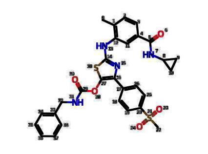 Cc1ccc(C(=O)NC2CC2)cc1Nc1nc(-c2ccc(S(C)(=O)=O)cc2)c(OC(=O)NCc2ccccc2)s1